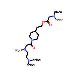 CCCCCCCCCN(CCCCCCCCC)CCN(CCCCCCCCC)CC(=O)N1CCC(CCOC(=O)CN(CCCCCCCCC)CCCCCCCCC)CC1